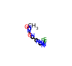 CN1CCN(CCOc2ccc(C3CCN(c4ccc5nnc(C(F)(F)F)n5n4)CC3)cn2)CC1=O